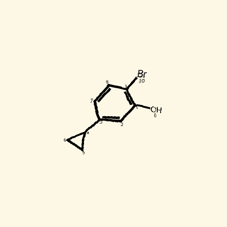 Oc1cc(C2CC2)ccc1Br